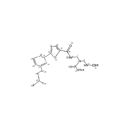 CCCCCCC(=O)N(CNO)CNC(=O)c1ccc(-c2cccc(OCC(F)F)c2)o1